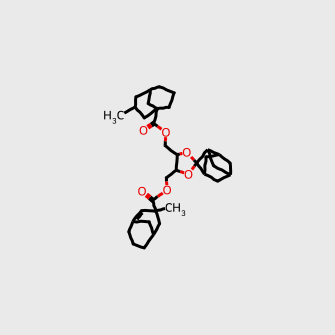 CC1CC2CCCC(C(=O)OCC3OC4(OC3COC(=O)C3(C)C=C5CCCC(C5)C3)C3CC5CC(C3)C4C5)(C1)C2